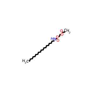 C=CC(=O)OCCOC(=O)NCCCCCCCCCCCCCCCCCCCC